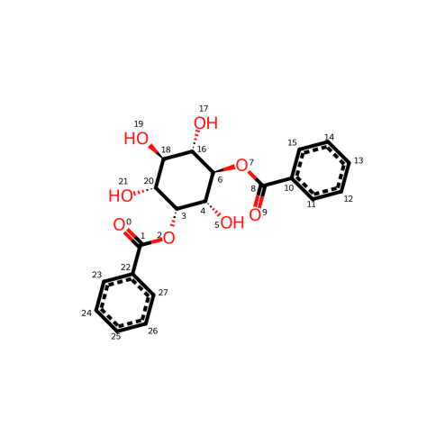 O=C(O[C@H]1[C@@H](O)[C@H](OC(=O)c2ccccc2)[C@@H](O)[C@H](O)[C@H]1O)c1ccccc1